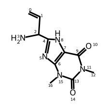 C=CC(N)c1nc2c([nH]1)c(=O)n(C)c(=O)n2C